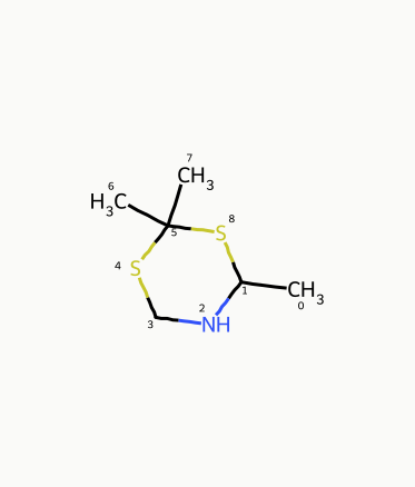 CC1NCSC(C)(C)S1